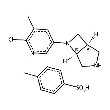 Cc1cc(N2C[C@H]3CNC[C@H]32)cnc1Cl.Cc1ccc(S(=O)(=O)O)cc1